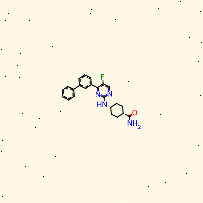 NC(=O)[C@H]1CC[C@H](Nc2ncc(F)c(-c3cccc(-c4ccccc4)c3)n2)CC1